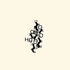 CCCCOCCO.CCCCOCCOCCCC.OCCO